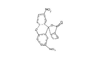 O=C1OC2(c3cc([N+](=O)[O-])ccc3Oc3ccc([N+](=O)[O-])cc32)c2ccccc21